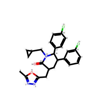 Cc1nnc(CC2CC(c3cccc(Cl)c3)C(c3ccc(Cl)cc3)N(CC3CC3)C2=O)o1